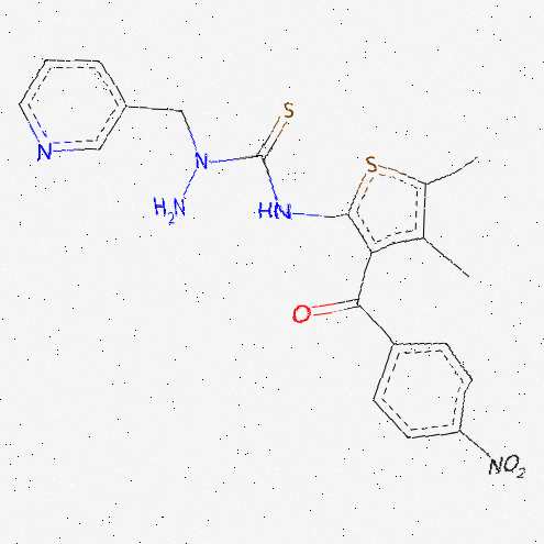 Cc1sc(NC(=S)N(N)Cc2cccnc2)c(C(=O)c2ccc([N+](=O)[O-])cc2)c1C